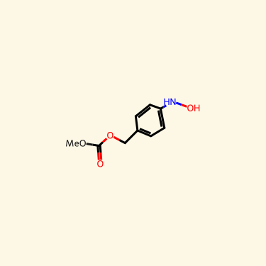 COC(=O)OCc1ccc(NO)cc1